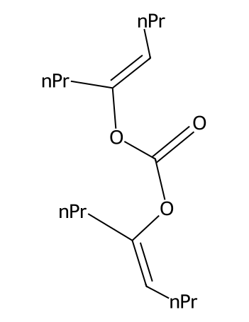 CCCC=C(CCC)OC(=O)OC(=CCCC)CCC